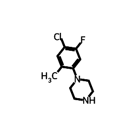 Cc1cc(Cl)c(F)cc1N1CCNCC1